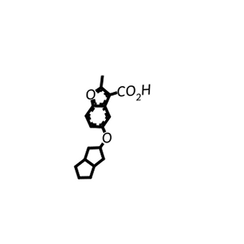 Cc1oc2ccc(OC3CC4CCCC4C3)cc2c1C(=O)O